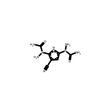 N#Cc1cc(N(N)C(N)=O)[nH]c1N(N)C(N)=O